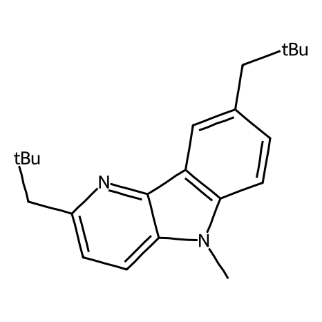 Cn1c2ccc(CC(C)(C)C)cc2c2nc(CC(C)(C)C)ccc21